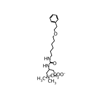 C[N+](C)(C)CC(CC(=O)[O-])NC(=O)NCCCCCCOCCc1ccccc1